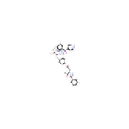 COC(=O)[C@H](Cc1ccc(OCCc2nc(-c3ccccc3)oc2C)cc1)Nc1ccccc1C(=O)c1ccncc1